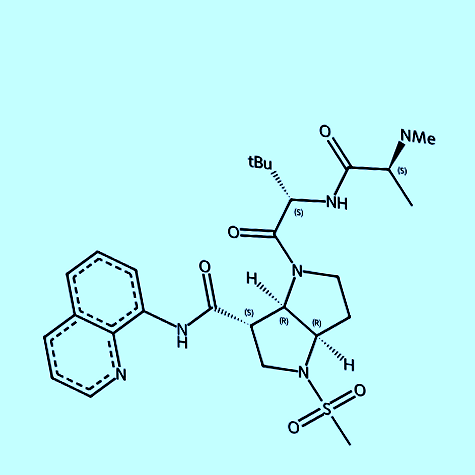 CN[C@@H](C)C(=O)N[C@H](C(=O)N1CC[C@@H]2[C@H]1[C@@H](C(=O)Nc1cccc3cccnc13)CN2S(C)(=O)=O)C(C)(C)C